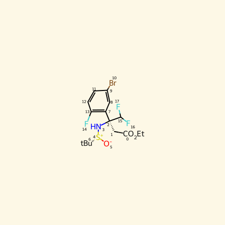 CCOC(=O)C[C@](N[S@+]([O-])C(C)(C)C)(c1cc(Br)ccc1F)C(F)F